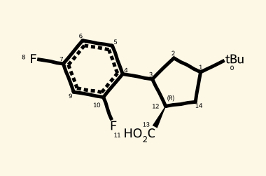 CC(C)(C)C1CC(c2ccc(F)cc2F)[C@H](C(=O)O)C1